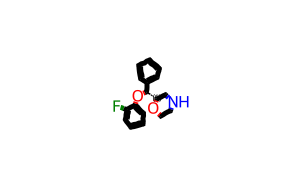 Fc1ccccc1OC(c1ccccc1)[C@@H]1CNCCO1